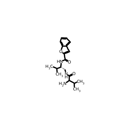 CC(C)C(N)C(=O)NC[C@@H](NC(=O)c1cc2ccccc2o1)C(C)C